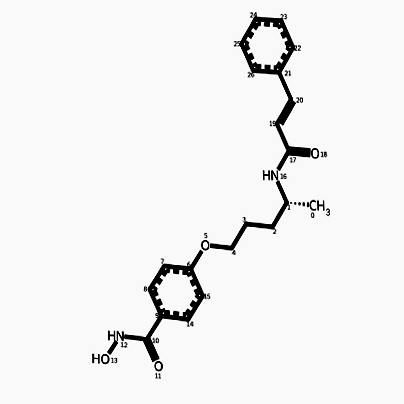 C[C@H](CCCOc1ccc(C(=O)NO)cc1)NC(=O)/C=C/c1ccccc1